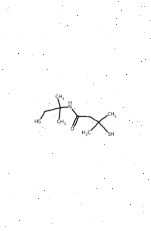 CC(C)(S)CC(=O)NC(C)(C)CS